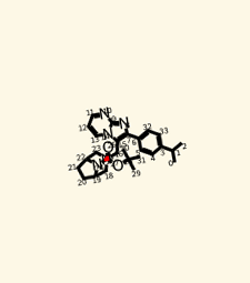 CC(C)c1ccc(-c2nc3ncccn3c2CN2CC3CCC(C2)N3C(=O)OC(C)(C)C)cc1